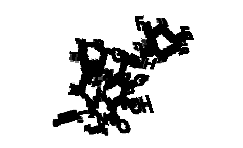 C#C[C@H]1N(CC)C(=O)c2c(O)c(=O)c(C(=O)NCc3ccc(F)cc3F)cn2N1Cc1ccccc1